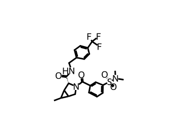 CC1C2CN(C(=O)c3cccc(S(=O)(=O)N(C)C)c3)[C@@H](C(=O)NCc3ccc(C(F)(F)F)cc3)C12